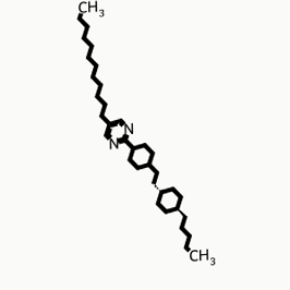 CCCCCCCCCCCCc1cnc(C2CCC(CC[C@H]3CC[C@H](CCCCC)CC3)CC2)nc1